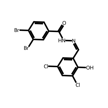 O=C(N/N=C\c1cc(Cl)cc(Cl)c1O)c1ccc(Br)c(Br)c1